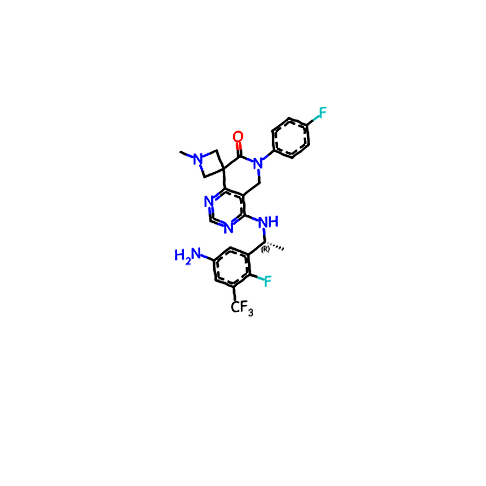 C[C@@H](Nc1ncnc2c1CN(c1ccc(F)cc1)C(=O)C21CN(C)C1)c1cc(N)cc(C(F)(F)F)c1F